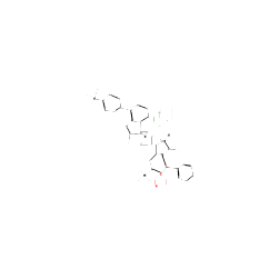 COc1c(C(C)(C)C)cc2c(c1-c1ccccc1)C(C)=C(C)[C@H]2[Zr+2][CH]1C(C)=Cc2c(-c3ccc(C(C)(C)C)cc3)cccc21.[Cl-].[Cl-]